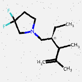 C=C(C)C(C)[C@H](CC)CN1CCC(F)(F)C1